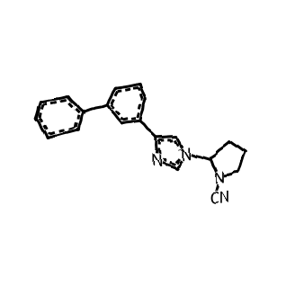 N#CN1CCCC1n1cnc(-c2cccc(-c3ccccc3)c2)c1